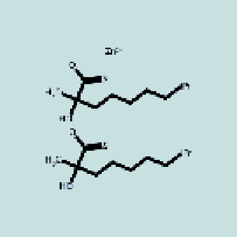 CC(C)CCCCCC(C)(O)C([O-])=S.CC(C)CCCCCC(C)(O)C([O-])=S.[Zn+2]